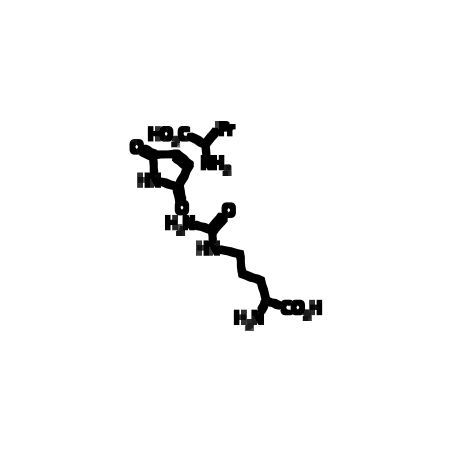 CC(C)C(N)C(=O)O.NC(=O)NCCCC(N)C(=O)O.O=C1C=CC(=O)N1